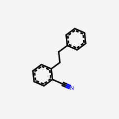 N#Cc1ccccc1C[CH]c1ccccc1